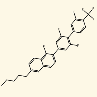 CCCCCc1ccc2c(F)c(-c3cc(F)c(-c4ccc(C(F)(F)F)c(F)c4)c(F)c3)ccc2c1